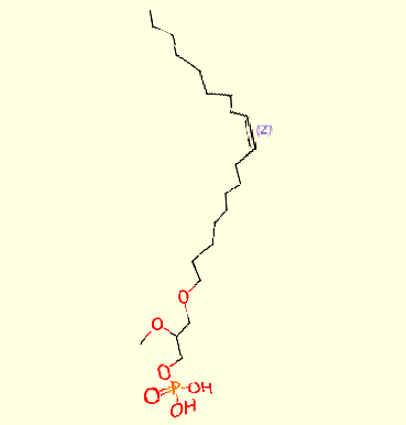 CCCCCCCC/C=C\CCCCCCCCOCC(COP(=O)(O)O)OC